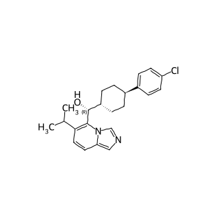 CC(C)c1ccc2cncn2c1[C@H](O)[C@H]1CC[C@H](c2ccc(Cl)cc2)CC1